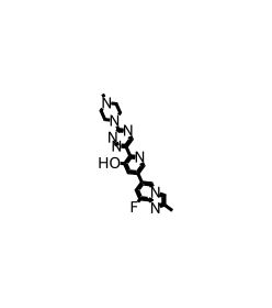 Cc1cn2cc(-c3cnc(-c4cnc(N5CCN(C)CC5)nn4)c(O)c3)cc(F)c2n1